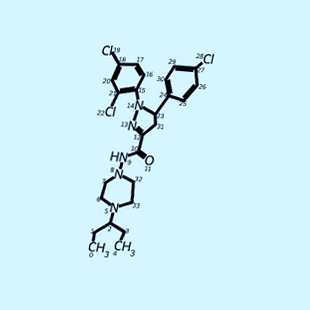 CCC(CC)N1CCN(NC(=O)C2=NN(c3ccc(Cl)cc3Cl)C(c3ccc(Cl)cc3)C2)CC1